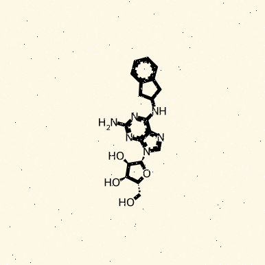 Nc1nc(NC2Cc3ccccc3C2)c2ncn([C@@H]3O[C@H](CO)[C@@H](O)[C@H]3O)c2n1